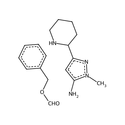 Cn1nc(C2CCCCN2)cc1N.O=COCc1ccccc1